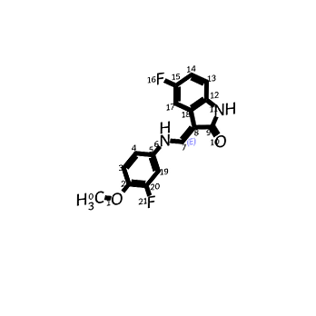 COc1ccc(N/C=C2/C(=O)Nc3ccc(F)cc32)cc1F